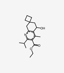 CCOC(=O)c1c(C(C)C)nc2c(c1C)C(O)CC1(CCC1)C2